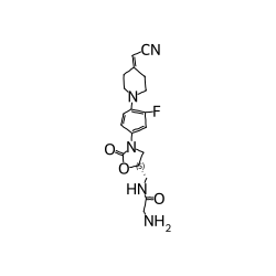 N#CC=C1CCN(c2ccc(N3C[C@H](CNC(=O)CN)OC3=O)cc2F)CC1